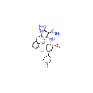 COc1cc(C2CCNCC2)ccc1Nc1nc(Cc2cccc(Cl)c2Cl)n2cnnc2c1C(N)=O